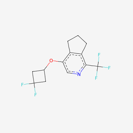 FC1(F)CC(Oc2cnc(C(F)(F)F)c3c2CCC3)C1